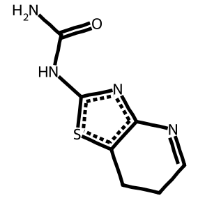 NC(=O)Nc1nc2c(s1)CCC=N2